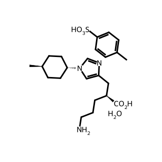 C[C@H]1CC[C@H](n2cnc(C[C@H](CCCN)C(=O)O)c2)CC1.Cc1ccc(S(=O)(=O)O)cc1.O